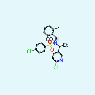 CCC(c1ccc(Cl)nc1)N(Cc1c(C)cccc1C(=O)O)S(=O)(=O)c1ccc(Cl)cc1